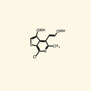 CO/C=C/c1c(C)nc(Cl)c2scc(OC)c12